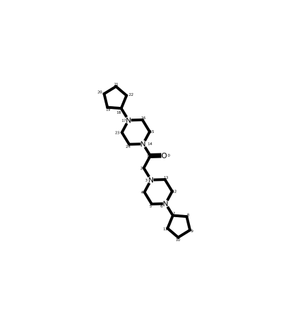 O=C(CN1CCN(C2CCCC2)CC1)N1CCN(C2CCCC2)CC1